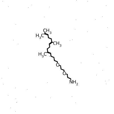 CC(C)=CCCC(C)=CCCC(C)=C[CH]CCCOCCCOCCCN